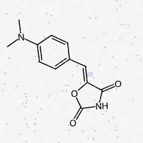 CN(C)c1ccc(/C=C2\OC(=O)NC2=O)cc1